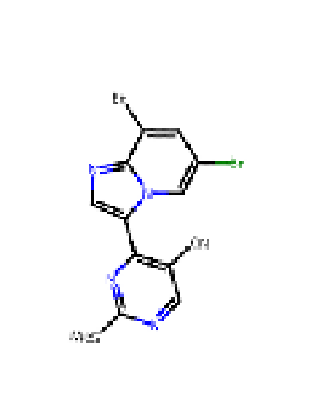 CCc1cc(Br)cn2c(-c3nc(SC)ncc3C#N)cnc12